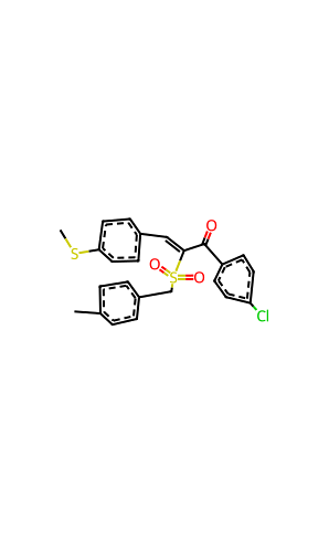 CSc1ccc(C=C(C(=O)c2ccc(Cl)cc2)S(=O)(=O)Cc2ccc(C)cc2)cc1